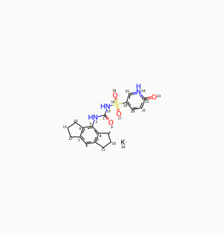 O=C(Nc1c2c(cc3c1CCC3)CCC2)NS(=O)(=O)c1ccc(=O)[nH]c1.[K]